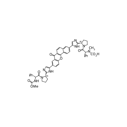 COC(=O)NC(C(=O)N1CCC[C@@H]1c1ncc(-c2ccc3oc4c(ccc5cc(-c6cnc([C@H]7CCCN7C(=O)C(C(C)C)N(C)C(=O)O)[nH]6)ccc54)c(=O)c3c2)[nH]1)C(C)C